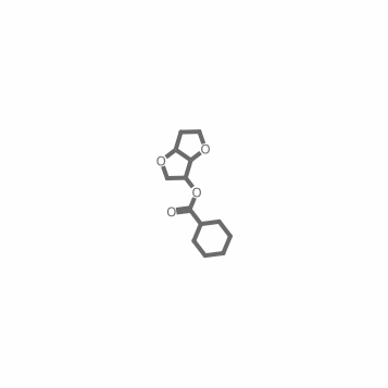 O=C(OC1COC2CCOC21)C1CCCCC1